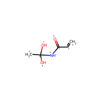 C=CC(=O)NC(C)(O)O